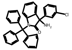 NC1(c2cccc(Cl)c2)C(=O)N(C(c2ccccc2)(c2ccccc2)c2ccccc2)c2ccccc21